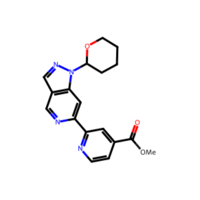 COC(=O)c1ccnc(-c2cc3c(cn2)cnn3C2CCCCO2)c1